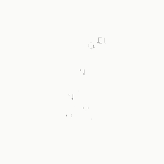 C=C(C)OC(=O)N(C)C1CCN(CCOCC)C1